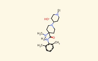 CCN1CC[C@@H](N2CCC(C(=O)Nc3c(C)cccc3C)(N(C)C)CC2)[C@H](O)C1